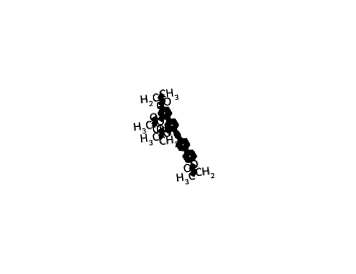 C=C(C)C(=O)Oc1ccc(-c2ccc(C#Cc3ccc(-c4ccc(OC(=O)C(=C)C)cc4OC(=O)C(=C)C)cc3OC(=O)C(=C)C)cc2)cc1